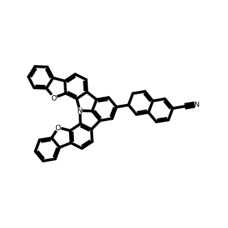 N#Cc1ccc2c(c1)=CCC(c1cc3c4ccc5c6ccccc6oc5c4n4c3c(c1)c1ccc3c5ccccc5oc3c14)C=2